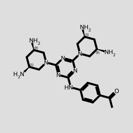 CC(=O)c1ccc(Nc2nc(N3C[C@H](N)C[C@H](N)C3)nc(N3C[C@H](N)C[C@H](N)C3)n2)cc1